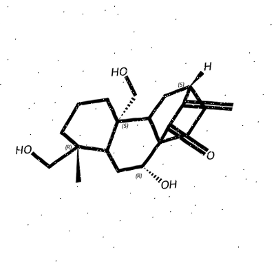 C=C1C(=O)C23CC[C@H]1CC2[C@]1(CO)CCC[C@@](C)(CO)C1C[C@H]3O